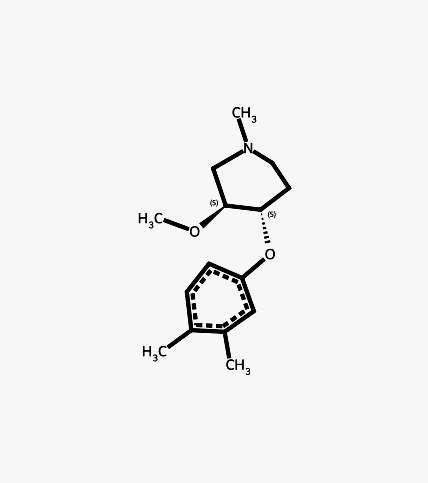 CO[C@H]1CN(C)CC[C@@H]1Oc1ccc(C)c(C)c1